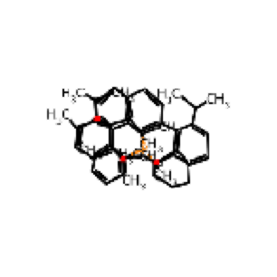 CC(C)c1cccc(C(C)C)c1-c1ccccc1P(c1c(-c2c(C(C)C)cccc2C(C)C)cccc1-c1c(C(C)C)cccc1C(C)C)C1CCCCC1